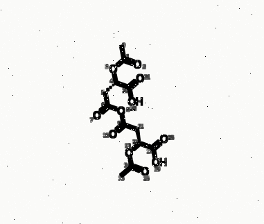 CC(=O)O[C@@H](CC(=O)OC(=O)C[C@H](OC(C)=O)C(=O)O)C(=O)O